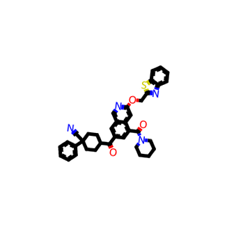 N#CC1(c2ccccc2)CCC(C(=O)c2cc(C(=O)N3CCCCC3)c3cc(OCc4nc5ccccc5s4)ncc3c2)CC1